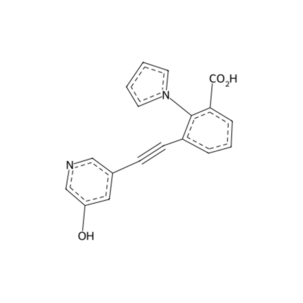 O=C(O)c1cccc(C#Cc2cncc(O)c2)c1-n1cccc1